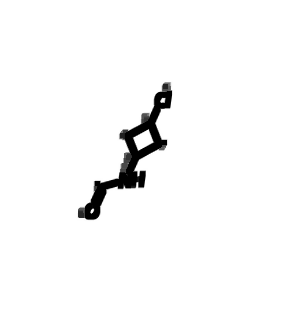 O=CNC1CC(Cl)C1